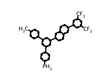 Cc1ccc(-c2cc(-c3ccc(P)cc3)cc(-c3ccc4cc(-c5cc(C(F)(F)F)cc(C(F)(F)F)c5)ccc4c3)c2)cc1